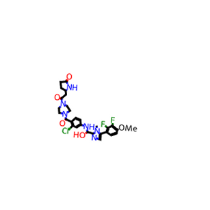 COc1ccc(-c2cnc(C(O)Nc3ccc(C(=O)N4CCN(C(=O)CC5CCC(=O)N5)CC4)c(Cl)c3)n2C)c(F)c1F